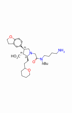 CCCCN(CCCCN)C(=O)CN1C[C@H](c2ccc3c(c2)CCO3)[C@@H](C(=O)O)[C@@H]1CCC1CCCCO1